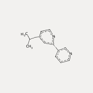 CC(C)c1ccnc(-c2cccnc2)c1